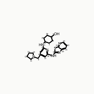 OC1CCC(Nc2cc(CN3CCCC3)cc(Nc3nc4cccnc4s3)n2)CC1